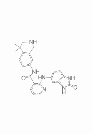 CC1(C)CNCc2cc(NC(=O)c3cccnc3Nc3ccc4[nH]c(=O)[nH]c4c3)ccc21